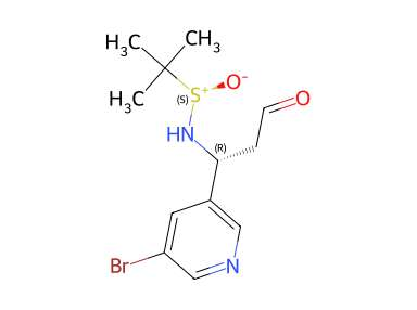 CC(C)(C)[S@@+]([O-])N[C@H](CC=O)c1cncc(Br)c1